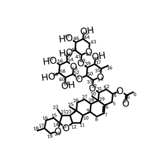 CC(=O)OC1CC2=CCC3C4CC5OC6(CCC(C)CO6)C(C)C5C4(C)CCC3C2(C)C(OC2OC(C)C(O)C(OC3OCC(O)C(O)C3O)C2OC2OC(C)C(O)C(O)C2O)C1